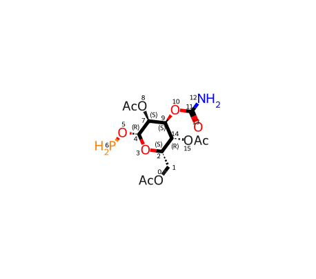 CC(=O)OC[C@@H]1O[C@H](OP)[C@@H](OC(C)=O)[C@@H](OC(N)=O)[C@@H]1OC(C)=O